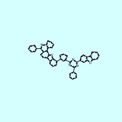 c1ccc(-c2nc(-c3cccc(-c4cccc5c4sc4c5ccc5c(-c6ccccc6)nc6ccccc6c54)c3)nc(-c3ccc4c(c3)oc3ccccc34)n2)cc1